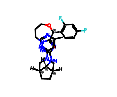 Cc1cc(N2C[C@H]3CC[C@@H](C2)[C@@H]3Nc2nc3n(n2)CCCO[C@@H]3c2ccc(F)cc2F)ncn1